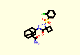 NC(=O)C12CC3CC(CC(NC(=O)C4(NS(=O)(=O)c5ccccc5Cl)CCC4)(C3)C1)C2